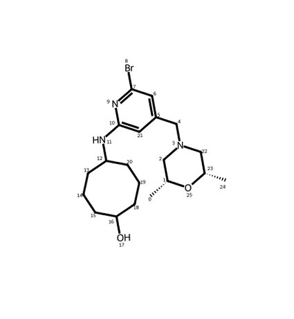 C[C@@H]1CN(Cc2cc(Br)nc(NC3CCCC(O)CCC3)c2)C[C@H](C)O1